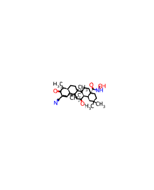 C[C@@H]1C(=O)C(C#N)=C[C@@]2(C)C1CC[C@]1(C)C2CC(=O)C2C3CC(C)(C)CC[C@]3(C(=O)NO)CC[C@]21C